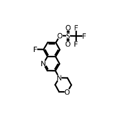 O=S(=O)(Oc1cc(F)c2ncc(N3CCOCC3)cc2c1)C(F)(F)F